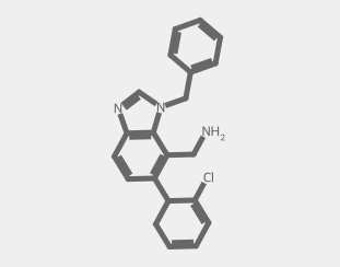 NCc1c(C2CC=CC=C2Cl)ccc2ncn(Cc3ccccc3)c12